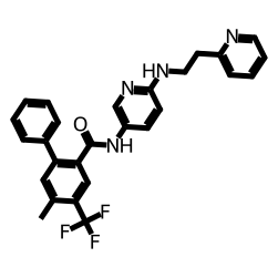 Cc1cc(-c2ccccc2)c(C(=O)Nc2ccc(NCCc3ccccn3)nc2)cc1C(F)(F)F